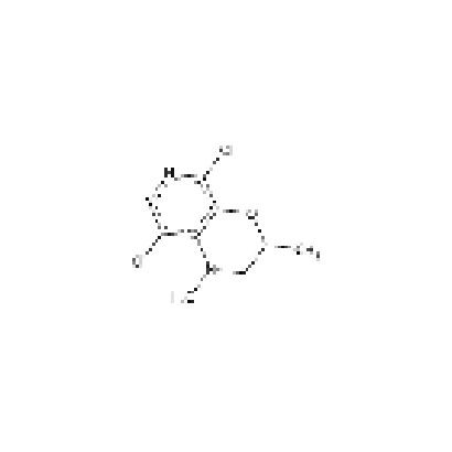 CC1CN(C)c2c(Cl)nnc(Cl)c2O1